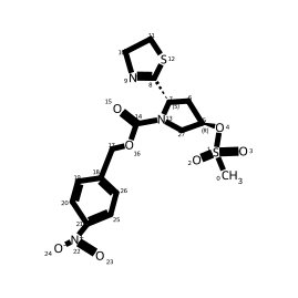 CS(=O)(=O)O[C@@H]1C[C@@H](C2=NCCS2)N(C(=O)OCc2ccc([N+](=O)[O-])cc2)C1